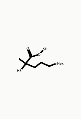 CCCCCCCCCC(C)(S)C(=O)OS